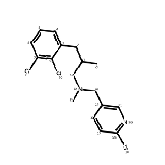 CC(Cc1cccc(Cl)c1Cl)CN(C)Cc1ccc(Cl)nc1